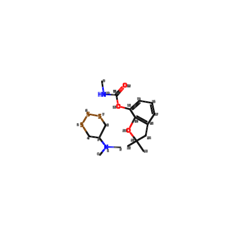 CN(C)C1CSSSC1.CNC(=O)Oc1cccc2c1OC(C)(C)C2